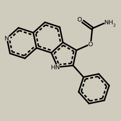 NC(=O)Oc1c(-c2ccccc2)[nH]c2c1ccc1cnccc12